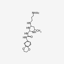 CC(=O)NCCCNC1CC(C)NC(NC(=O)Nc2ccc3c(c2)OCCO3)N1